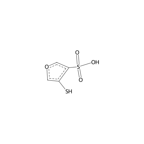 O=S(=O)(O)c1cocc1S